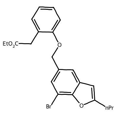 CCCc1cc2cc(COc3ccccc3CC(=O)OCC)cc(Br)c2o1